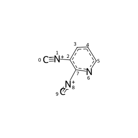 [C-]#[N+]c1cccnc1[N+]#[C-]